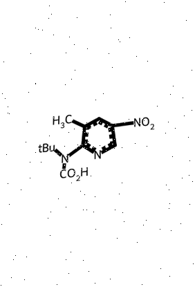 Cc1cc([N+](=O)[O-])cnc1N(C(=O)O)C(C)(C)C